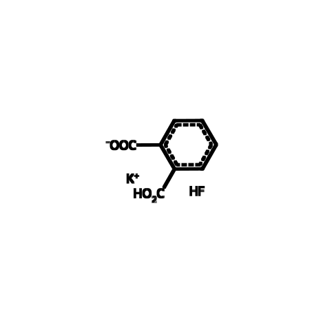 F.O=C([O-])c1ccccc1C(=O)O.[K+]